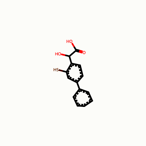 O=C(O)C(O)c1ccc(-c2ccccc2)cc1S